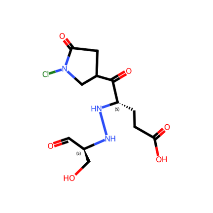 O=C[C@H](CO)NN[C@@H](CCC(=O)O)C(=O)C1CC(=O)N(Cl)C1